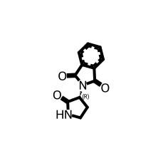 O=C1NCC[C@H]1N1C(=O)c2ccccc2C1=O